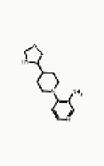 Nc1cnccc1N1CCC(C2NCON2)CC1